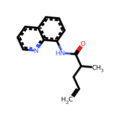 C=CCC(C)C(=O)Nc1cccc2cccnc12